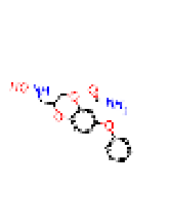 NC=O.ONCC1COc2cc(Oc3ccccc3)ccc2O1